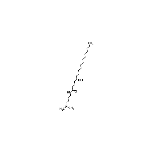 CCCCCCCCCCCCCCCCCC(=O)NCCCCN(C)C.Cl